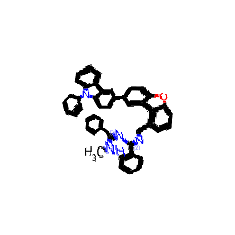 CN/C(=N\C(=N/Cc1cccc2oc3ccc(-c4ccc5c(c4)c4ccccc4n5-c4ccccc4)cc3c12)c1ccccc1)c1ccccc1